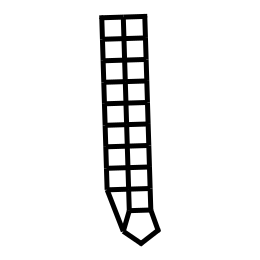 C1CC2C3C1C1C4C5C6C7C8C9C%10CC%11CC%12C%13C%14C%15C%16C%17C%18C2C31C4%18C5%17C6%16C7%15C8%14C9%13C%11%10%12